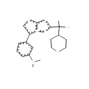 CN(C)c1cccc(-c2cnc3sc(C(C)(N)C4CCNCC4)nn23)c1